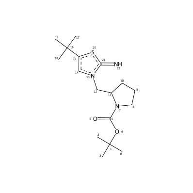 CC(C)(C)OC(=O)N1CCCC1Cn1cc(C(C)(C)C)sc1=N